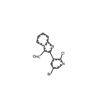 O=Cc1c(-c2cc(Br)cnc2Cl)nc2ccccn12